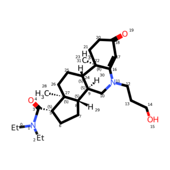 CCN(CC)C(=O)[C@H]1CC[C@H]2[C@@H]3CN(CCCO)C4=CC(=O)CC[C@]4(C)[C@H]3CC[C@]12C